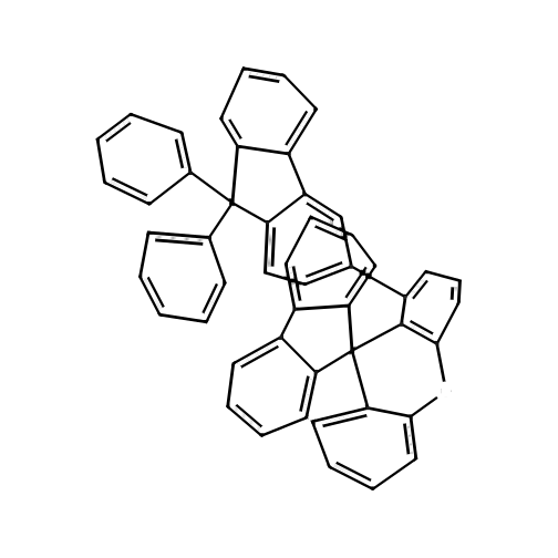 c1ccc(C2(c3ccccc3)c3ccccc3-c3cc(-c4cccc5c4C4(c6ccccc6O5)c5ccccc5-c5ccccc54)ccc32)cc1